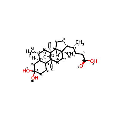 C[C@H](CCC(=O)O)[C@H]1CC[C@H]2[C@@H]3C[C@@H](C)[C@@H]4CC(O)(O)CC[C@]4(C)[C@H]3CC[C@]12C